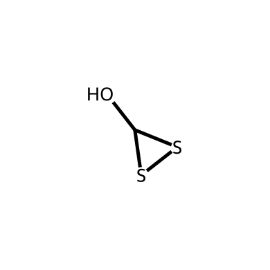 OC1SS1